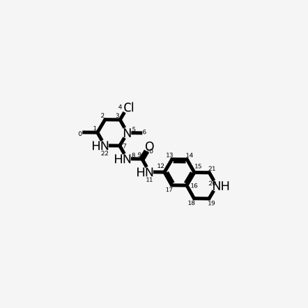 CC1CC(Cl)N(C)C(NC(=O)Nc2ccc3c(c2)CCNC3)N1